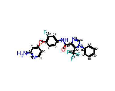 Nc1cc(Oc2ccc(NC(=O)c3ncn(-c4ccccc4)c3C(F)(F)F)cc2F)ccn1